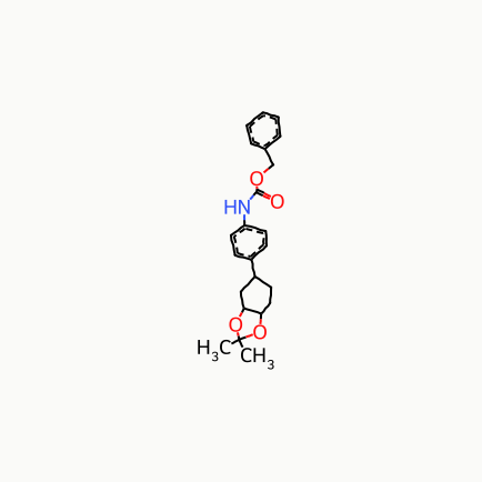 CC1(C)OC2CCC(c3ccc(NC(=O)OCc4ccccc4)cc3)CC2O1